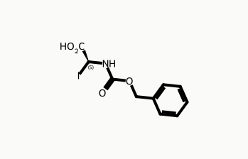 O=C(N[C@@H](I)C(=O)O)OCc1ccccc1